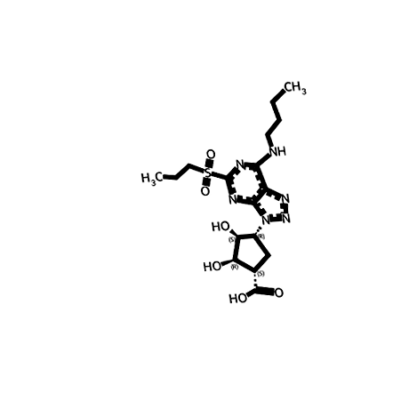 CCCCNc1nc(S(=O)(=O)CCC)nc2c1nnn2[C@@H]1C[C@H](C(=O)O)[C@@H](O)[C@H]1O